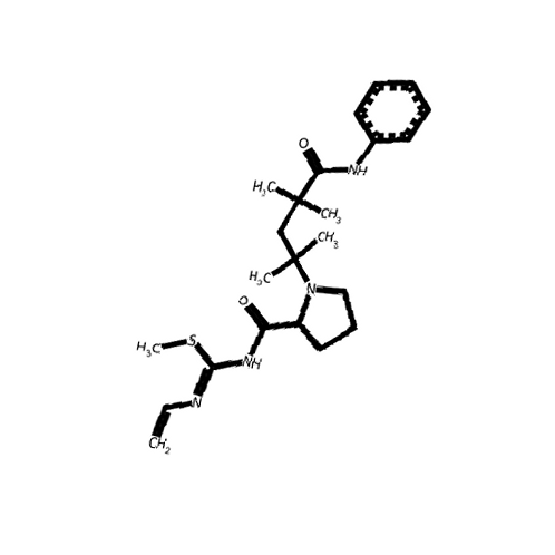 C=C/N=C(/NC(=O)C1CCCN1C(C)(C)CC(C)(C)C(=O)Nc1ccccc1)SC